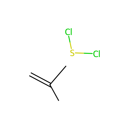 C=C(C)C.ClSCl